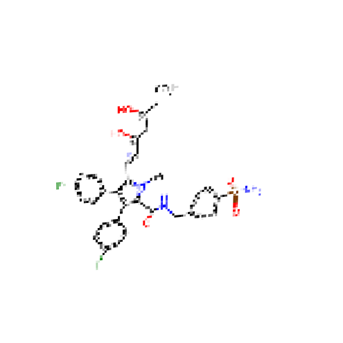 CC(C)n1c(/C=C/[C@@H](O)C[C@@H](O)CC(=O)O)c(-c2ccc(F)cc2)c(-c2ccc(F)cc2)c1C(=O)NCc1ccc(S(N)(=O)=O)cc1